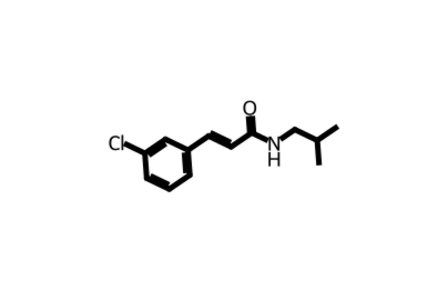 CC(C)CNC(=O)C=Cc1cccc(Cl)c1